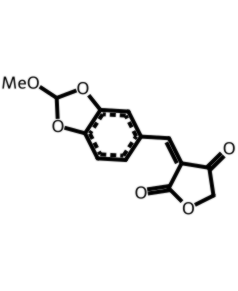 COC1Oc2ccc(C=C3C(=O)COC3=O)cc2O1